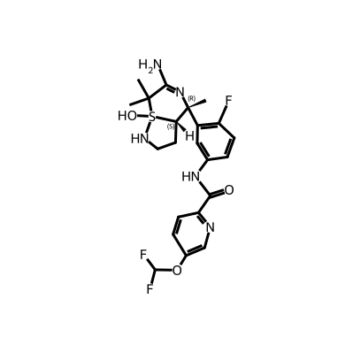 CC1(C)C(N)=N[C@](C)(c2cc(NC(=O)c3ccc(OC(F)F)cn3)ccc2F)[C@@H]2CCNS21O